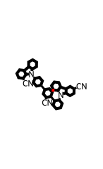 N#Cc1ccc2c(c1)c1ccccc1n2-c1ccccc1-c1ccc(-c2ccc(-n3c4ccccc4c4cccc(C#N)c43)cc2)cc1C#N